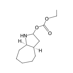 CCOC(=O)OC1C[C@H]2CCCCC[C@H]2N1